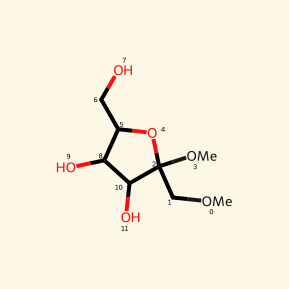 COCC1(OC)OC(CO)C(O)C1O